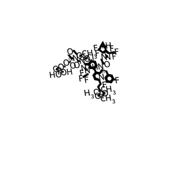 CC(C)(CCc1ccc(-c2ccc(Cl)c3c(N(C(=O)N4CCOC[C@H]4C(=O)OCOP(=O)(O)O)S(C)(=O)=O)nn(CC(F)(F)F)c23)c([C@H](Cc2cc(F)cc(F)c2)NC(=O)Cn2nc(C(F)(F)F)c3c2C(F)(F)C2C[C@H]32)n1)S(C)(=O)=O